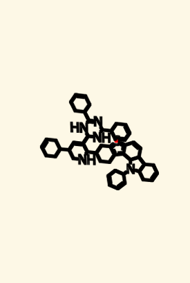 C1=CCC(C2N=C(C3CC=CCC3)NC(C3=CC(C4CC=CCC4)CNC3C3CCc4c(sc5c4C4C(C=C5)C5CC=CCC5N4C4C=CC=CC4)C3)N2)C=C1